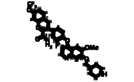 COc1cc2c(Oc3ccc(N(Cc4ccc(OC(F)(F)F)cc4)C(=O)C(N)=O)cc3F)ccnc2cc1OCC1CCNCC1